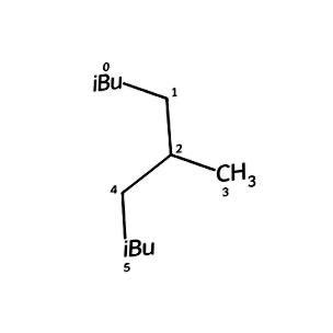 [CH2]CC(C)CC(C)CC(C)CC